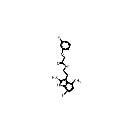 Cc1[nH]c2c(F)ccc(C)c2c1CCNC(=O)COc1cccc(F)c1